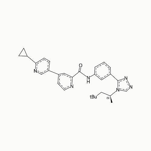 C[C@@H](CC(C)(C)C)n1cnnc1-c1cccc(NC(=O)c2cc(-c3ccc(C4CC4)nc3)ccn2)c1